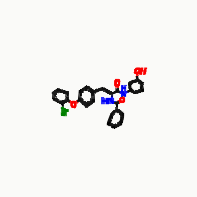 O=C(Nc1cccc(O)c1)C(=Cc1ccc(Oc2ccccc2Br)cc1)NC(=O)c1ccccc1